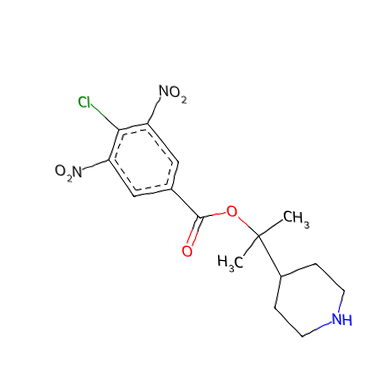 CC(C)(OC(=O)c1cc([N+](=O)[O-])c(Cl)c([N+](=O)[O-])c1)C1CCNCC1